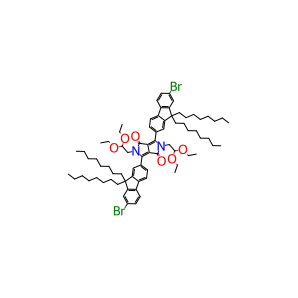 CCCCCCCCC1(CCCCCCCC)c2cc(Br)ccc2-c2ccc(C3=C4C(=O)N(CC(OCC)OCC)C(c5ccc6c(c5)C(CCCCCCCC)(CCCCCCCC)c5cc(Br)ccc5-6)=C4C(=O)N3CC(OCC)OCC)cc21